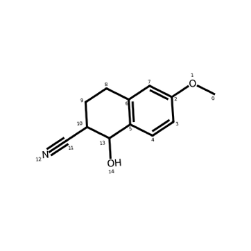 COc1ccc2c(c1)CCC(C#N)C2O